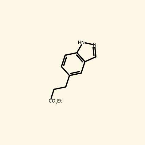 CCOC(=O)CCc1ccc2[nH]ncc2c1